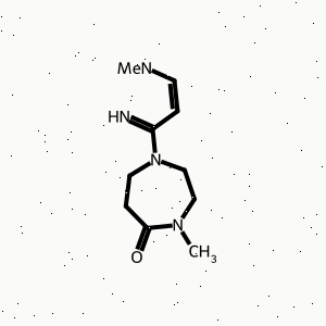 CN/C=C\C(=N)N1CCC(=O)N(C)CC1